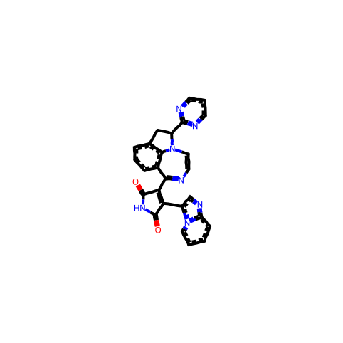 O=C1NC(=O)C(c2cnc3ccccn23)=C1C1=NC=CN2c3c(cccc31)CC2c1ncccn1